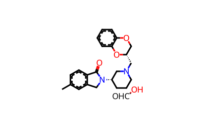 Cc1ccc2c(c1)CN([C@H]1CCCN(C[C@H]3COc4ccccc4O3)C1)C2=O.O=CO